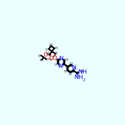 CC(C)(C)OC(=O)C1(COc2cnc(-c3ccc(C(=N)N)nc3)cn2)CCC1